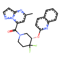 Cc1cc(C(=O)N2CCC(F)(F)[C@@H](Oc3ccc4ccccc4n3)C2)n2nccc2n1